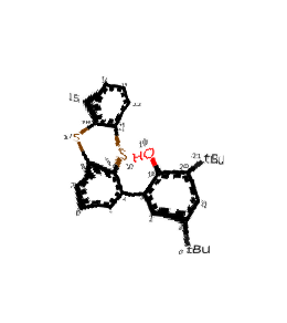 CC(C)(C)c1cc(-c2cccc3c2Sc2ccccc2S3)c(O)c(C(C)(C)C)c1